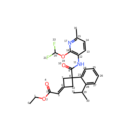 CCOC(=O)C=C1CC(C(=O)Nc2ccc(C)nc2OC(F)F)(c2ccccc2C(C)C)C1